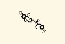 COc1ccc(Cl)cc1C(=O)N1CCCC(CNC(=O)/C(C#N)=C/c2ccc(N(C)C)cc2)C1